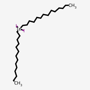 CCCCCCCCCCCCCC[Te](I)(I)CCCCCCCCCCCCCC